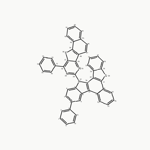 c1ccc(-c2ccc3c(c2)c2c4ccccc4c4sc5ccccc5c4c2n3-c2nc(-c3ccccc3)c3sc4c5ccccc5ccc4c3n2)cc1